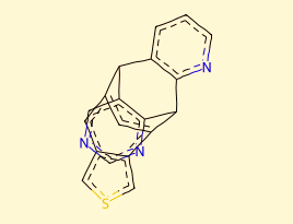 c1cnc2c(c1)C1c3cc(c4cscc4c3)C2c2ncncc21